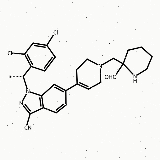 C[C@H](c1ccc(Cl)cc1Cl)n1nc(C#N)c2ccc(C3=CCN(CC4(C=O)CCCCN4)CC3)cc21